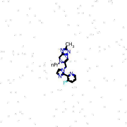 CCCN1Cc2nc(C)nn2C=C1Cn1ccnc1-c1ncccc1F